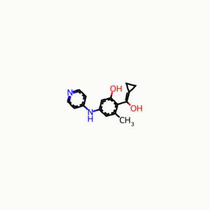 Cc1cc(Nc2ccncc2)cc(O)c1C(O)=C1CC1